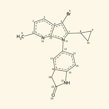 Cc1ccc2c(Br)c(C3CC3)n(-c3ccc4c(c3)CC(=O)N4)c2n1